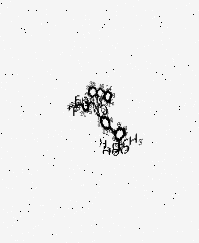 CC(C)(C(=O)O)c1cccc(-c2ccc(CN(Cc3ccc(C(F)(F)F)o3)C(=O)N3c4ccccc4CC4C=CC=CC43)cc2)c1